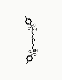 Cc1ccc(S(=O)(=O)NCCCOCCCNS(=O)(=O)c2ccc(C)cc2)cc1